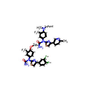 CCCCCN(C)c1ccc(N(C(N)=O)c2nc(-c3ccc(C)nc3)cs2)cc1C(F)(F)F.CCCCOc1ccc(N(C(N)=O)c2nc(-c3ccc(F)c(F)c3)cs2)cc1C(F)(F)F